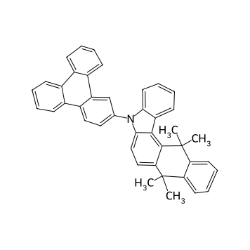 CC1(C)c2ccccc2C(C)(C)c2c1ccc1c2c2ccccc2n1-c1ccc2c3ccccc3c3ccccc3c2c1